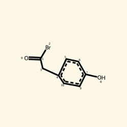 O=C(Br)Cc1ccc(O)cc1